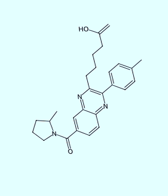 C=C(O)CCCCc1nc2cc(C(=O)N3CCCC3C)ccc2nc1-c1ccc(C)cc1